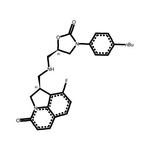 CCCCc1ccc(N2C[C@@H](CNC[C@@H]3Cn4c(=O)ccc5ccc(F)c3c54)OC2=O)cc1